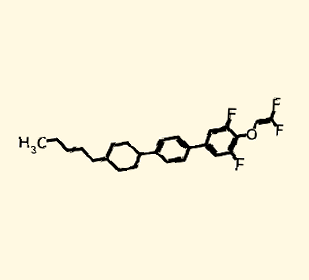 CCCCCC1CCC(c2ccc(-c3cc(F)c(OC=C(F)F)c(F)c3)cc2)CC1